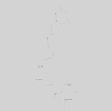 Cc1cc(C(=O)NCc2cccc(O)c2)sc1C(=O)NC(CNC(=O)c1cccc2[nH]cnc12)C(=O)O